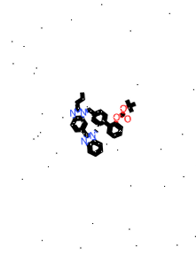 CCCc1nc2ccc(-c3nc4ccccc4n3C)cc2n1Cc1ccc(-c2ccccc2OC(=O)OC(C)(C)C)cc1